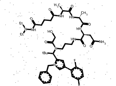 CCN(CC)NC(=O)CCCC(=O)N[C@@H](C)C(=O)N[C@H](C)C(=O)N[C@@H](CC(N)=O)C(=O)NCCCN(C(=O)CO)C(c1cc(-c2cc(F)ccc2F)cn1Cc1ccccc1)C(C)(C)C